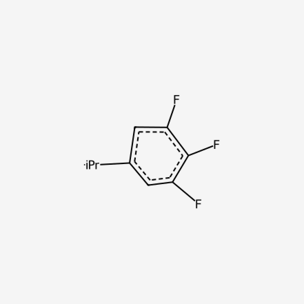 C[C](C)c1cc(F)c(F)c(F)c1